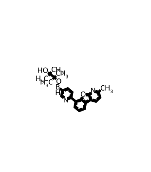 Cc1ccc2c(n1)oc1c(-c3ccc(BOC(C)(C)C(C)(C)O)cn3)cccc12